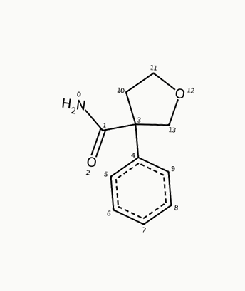 NC(=O)C1(c2ccccc2)CCOC1